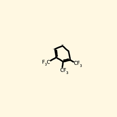 FC(F)(F)C1=[C][C]CC(C(F)(F)F)=C1C(F)(F)F